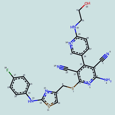 N#Cc1c(N)nc(SCc2csc(Nc3ccc(F)cc3)n2)c(C#N)c1-c1ccc(NCCO)nc1